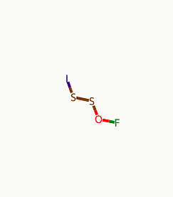 FOSSI